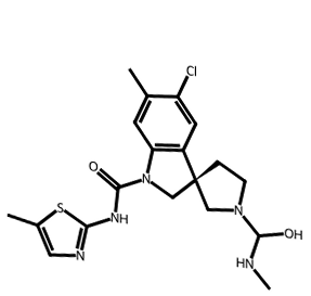 CNC(O)N1CC[C@]2(CN(C(=O)Nc3ncc(C)s3)c3cc(C)c(Cl)cc32)C1